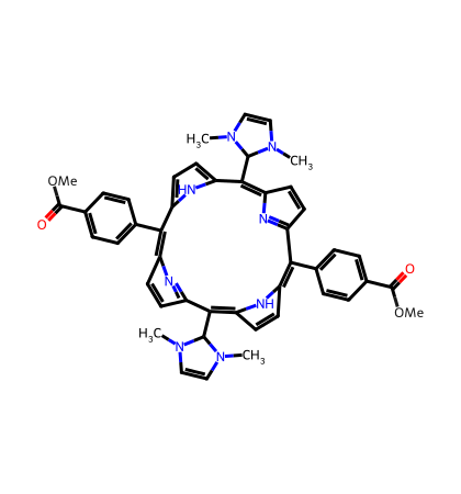 COC(=O)c1ccc(-c2c3nc(c(C4N(C)C=CN4C)c4ccc([nH]4)c(-c4ccc(C(=O)OC)cc4)c4nc(c(C5N(C)C=CN5C)c5ccc2[nH]5)C=C4)C=C3)cc1